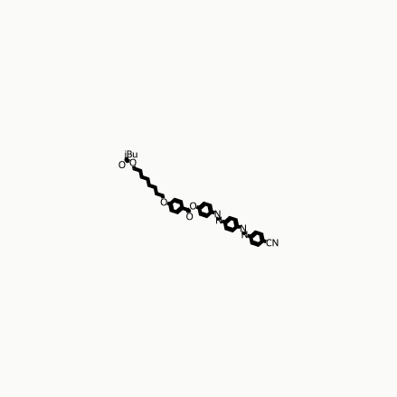 CCC(C)C(=O)OCCCCCCCCOc1ccc(C(=O)Oc2ccc(N=Nc3ccc(N=Nc4ccc(C#N)cc4)cc3)cc2)cc1